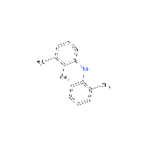 Cc1ccccc1Nc1cccc(C)c1C